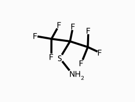 NSC(F)(C(F)(F)F)C(F)(F)F